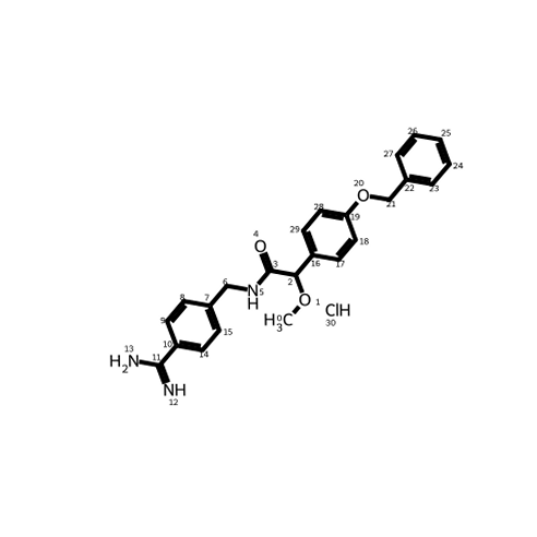 COC(C(=O)NCc1ccc(C(=N)N)cc1)c1ccc(OCc2ccccc2)cc1.Cl